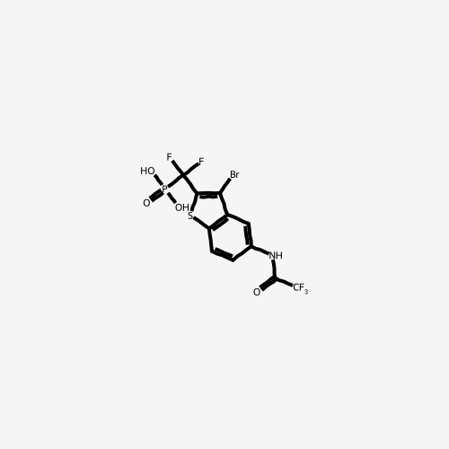 O=C(Nc1ccc2sc(C(F)(F)P(=O)(O)O)c(Br)c2c1)C(F)(F)F